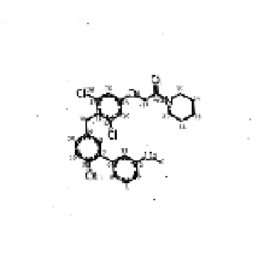 COc1cccc(-c2cc(Cc3c(Cl)cc(OCC(=O)N4CCCCC4)cc3Cl)ccc2O)c1